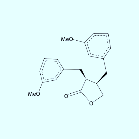 COc1cccc(C[C@H]2COC(=O)[C@H]2Cc2cccc(OC)c2)c1